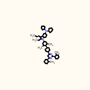 C=C/C=c1\c(=C/C)n(-c2cc(C)c(-c3ccc(-c4cc(-c5ccccc5C)nc(-c5ccccc5C)n4)cc3)c(C)c2)c2ccc(N(c3ccccc3)c3ccccc3)cc12